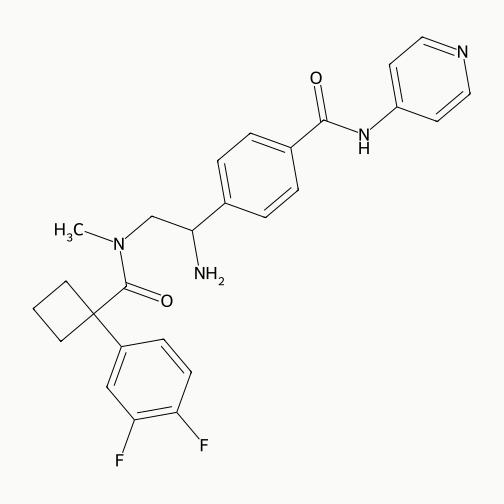 CN(CC(N)c1ccc(C(=O)Nc2ccncc2)cc1)C(=O)C1(c2ccc(F)c(F)c2)CCC1